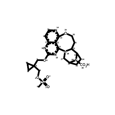 CS(=O)(=O)OCC1(COc2nc3c4c(nccc4n2)OCCC2C4CCC(CN32)N4C(=O)O)CC1